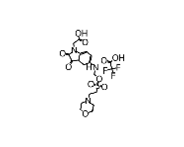 O=C(O)C(F)(F)F.O=C(O)CN1C(=O)C(=O)C2CC(NCOS(=O)(=O)CCN3CCOCC3)=CC=C21